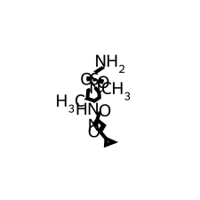 C[C@@H]1CN(S(=O)(=O)CCN)[C@H](C)C[C@@H]1NC(=O)c1cc(C2CC2)on1